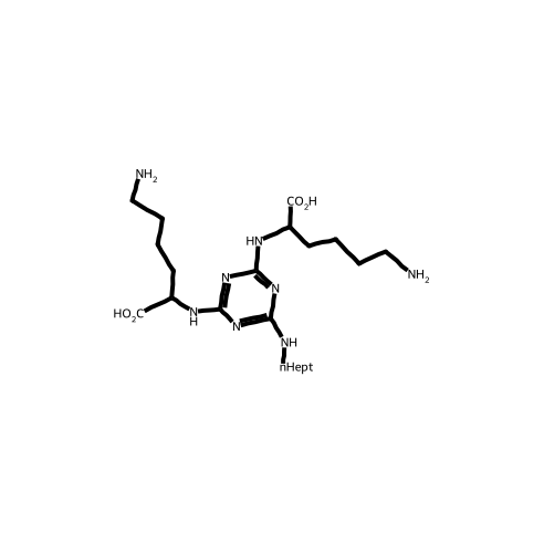 CCCCCCCNc1nc(NC(CCCCN)C(=O)O)nc(NC(CCCCN)C(=O)O)n1